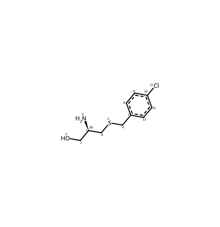 N[C@H](CO)CSCc1ccc(Cl)cc1